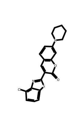 O=c1oc2cc(N3CCCCC3)ccc2cc1-c1nc2c(Cl)cccc2s1